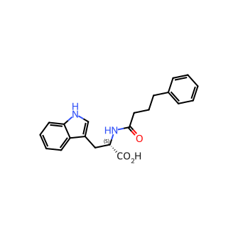 O=C(CCCc1ccccc1)N[C@@H](Cc1c[nH]c2ccccc12)C(=O)O